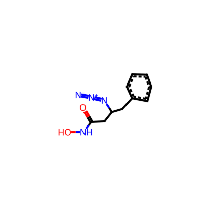 [N-]=[N+]=NC(CC(=O)NO)Cc1ccccc1